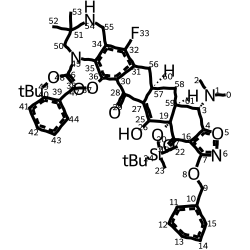 CN(C)[C@@H]1c2onc(OCc3ccccc3)c2C(=O)[C@@]2(O[Si](C)(C)C(C)(C)C)C(O)=C3C(=O)c4c(c(F)c5c(c4OCc4ccccc4)N(C(=O)OC(C)(C)C)CC(C)(C)NC5)C[C@H]3C[C@@H]12